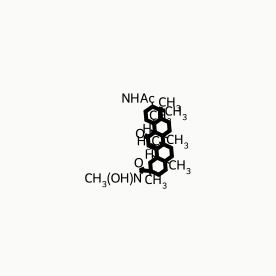 CC(=O)N[C@H]1CC[C@@]2(C)C(CC[C@]3(C)[C@@H]2C(=O)C=C2[C@@H]4C[C@@](C)(C(=O)N(C)O)CC[C@]4(C)CC[C@]23C)C1(C)C